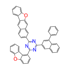 c1ccc(-c2cc(-c3nc(-c4ccc5cc6c(cc5c4)oc4ccccc46)nc(-c4cccc5oc6ccccc6c45)n3)cc3ccccc23)cc1